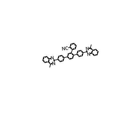 Cc1nc(-c2ccc(-c3ccc(-c4ccc(-c5nc(C)c6ccccc6n5)cc4)c(-c4ccccc4C#N)c3)cc2)nc2ccccc12